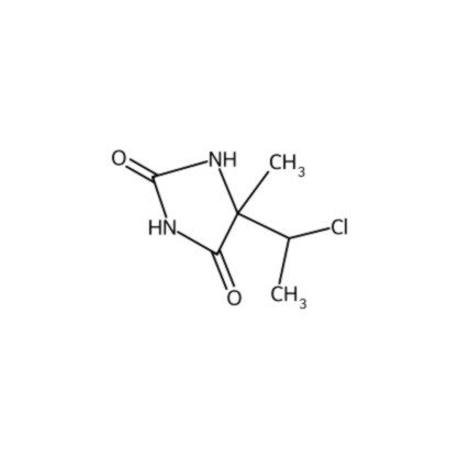 CC(Cl)C1(C)NC(=O)NC1=O